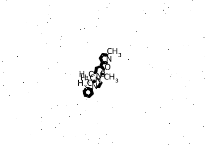 CB1c2oc3nc(C)ccc3c2C=C(C)N1N1C=CN(c2ccccc2)C1(C)C